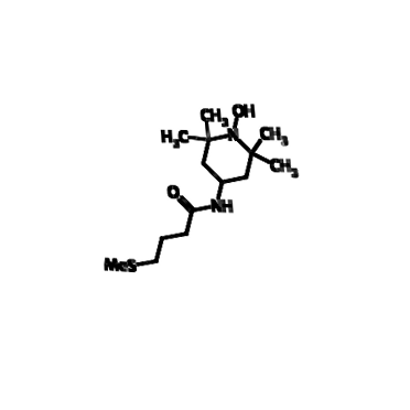 CSCCCC(=O)NC1CC(C)(C)N(O)C(C)(C)C1